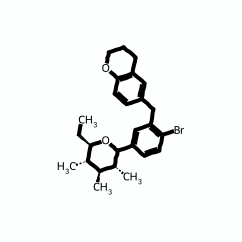 CC[C@H]1OC(c2ccc(Br)c(Cc3ccc4c(c3)CCCO4)c2)[C@H](C)[C@@H](C)[C@@H]1C